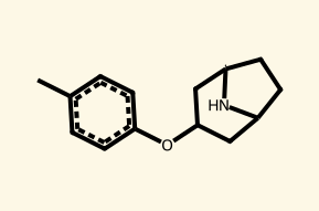 Cc1ccc(OC2C[C]3CCC(C2)N3)cc1